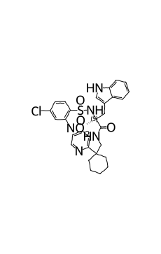 C[C@@](Cc1c[nH]c2ccccc12)(NS(=O)(=O)c1ccc(Cl)cc1[N+](=O)[O-])C(=O)NCC1(c2ccccn2)CCCCC1